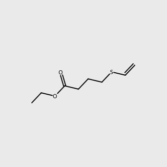 C=CSCCCC(=O)OCC